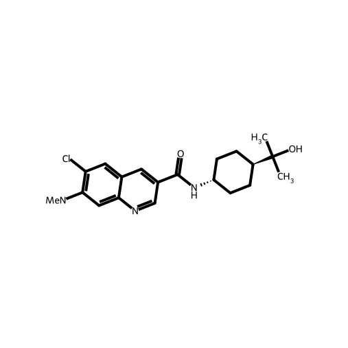 CNc1cc2ncc(C(=O)N[C@H]3CC[C@H](C(C)(C)O)CC3)cc2cc1Cl